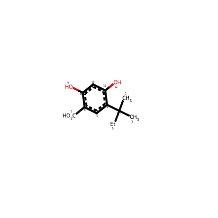 CCC(C)(C)c1cc(C(=O)O)c(O)cc1O